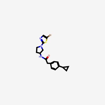 O=C(Cc1ccc(C2CC2)cc1)NC1CCN(c2ncc(Br)s2)C1